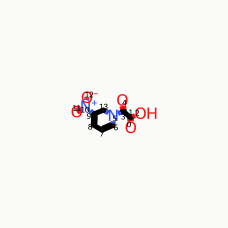 O=C(O)C(=O)N1C=CC=C([N+](=O)[O-])C1